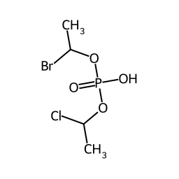 CC(Cl)OP(=O)(O)OC(C)Br